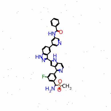 CS(=O)(=O)C(N)c1cc(F)cc(-c2nccc3[nH]c(-c4n[nH]c5ccc(-c6cncc(NC(=O)c7ccccc7)c6)cc45)cc23)c1